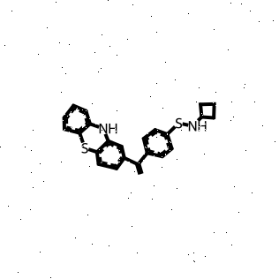 C=C(c1ccc(SNC2CCC2)cc1)c1ccc2c(c1)Nc1ccccc1S2